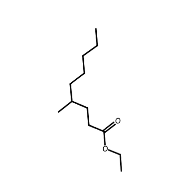 CCCCCC(C)CCC(=O)OCC